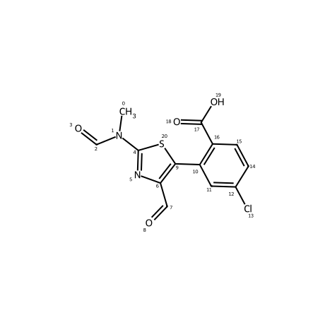 CN(C=O)c1nc(C=O)c(-c2cc(Cl)ccc2C(=O)O)s1